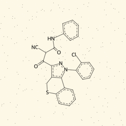 N#CC(C(=O)Nc1ccccc1)C(=O)c1nn(-c2ccccc2Cl)c2c1CSc1ccccc1-2